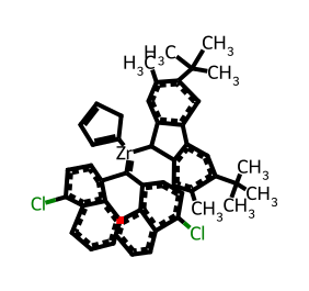 Cc1cc2c(cc1C(C)(C)C)-c1cc(C(C)(C)C)c(C)cc1[CH]2[Zr]([C]1=CC=CC1)=[C](c1ccc(Cl)c2ccccc12)c1ccc(Cl)c2ccccc12